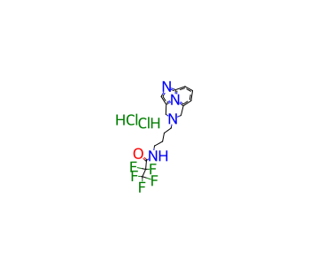 Cl.Cl.O=C(NCCCCN1Cc2cccc3ncc(n23)C1)C(F)(F)C(F)(F)F